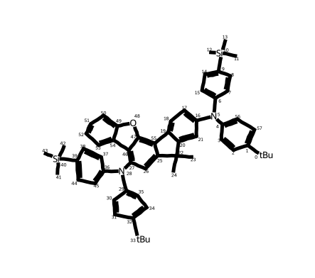 CC(C)(C)c1ccc(N(c2ccc([Si](C)(C)C)cc2)c2ccc3c(c2)C(C)(C)c2cc(N(c4ccc(C(C)(C)C)cc4)c4ccc([Si](C)(C)C)cc4)c4c(oc5ccccc54)c2-3)cc1